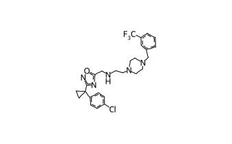 FC(F)(F)c1cccc(CN2CCN(CCNCc3nc(C4(c5ccc(Cl)cc5)CC4)no3)CC2)c1